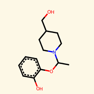 CC(Oc1ccccc1O)N1CCC(CO)CC1